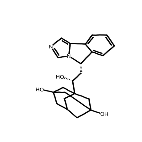 O[C@H](C[C@H]1c2ccccc2-c2cncn21)C12CC3CC(O)(CC(O)(C3)C1)C2